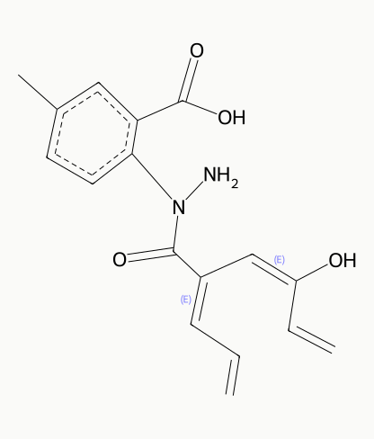 C=C/C=C(\C=C(\O)C=C)C(=O)N(N)c1ccc(C)cc1C(=O)O